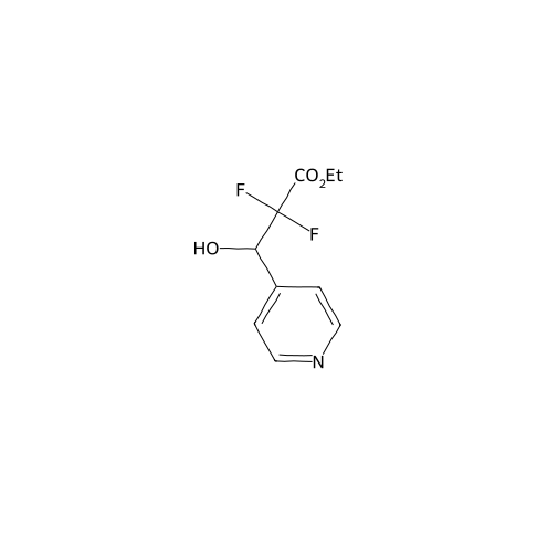 CCOC(=O)C(F)(F)C(O)c1ccncc1